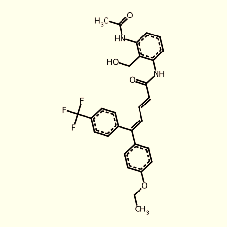 CCOc1ccc(C(=CC=CC(=O)Nc2cccc(NC(C)=O)c2CO)c2ccc(C(F)(F)F)cc2)cc1